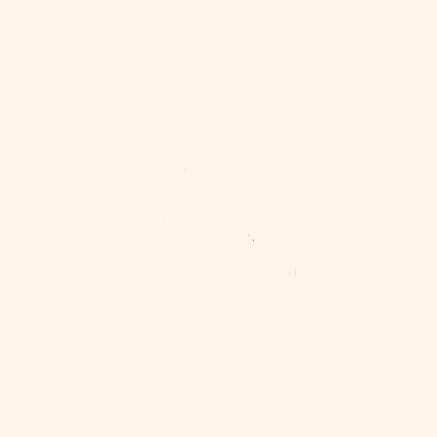 Cc1cc(Cl)ccc1Nc1ccc(C(=S)c2ccccc2C)c(Cl)c1